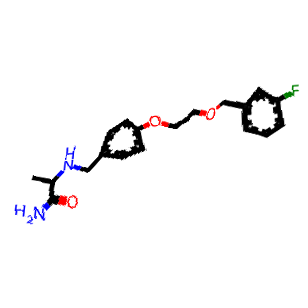 CC(NCc1ccc(OCCOCc2cccc(F)c2)cc1)C(N)=O